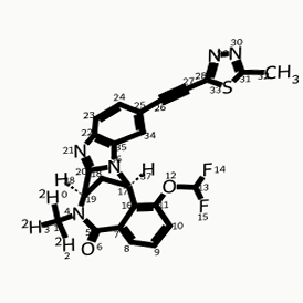 [2H]C([2H])([2H])N1C(=O)c2cccc(OC(F)F)c2[C@H]2C[C@@H]1c1nc3ccc(C#Cc4nnc(C)s4)cc3n12